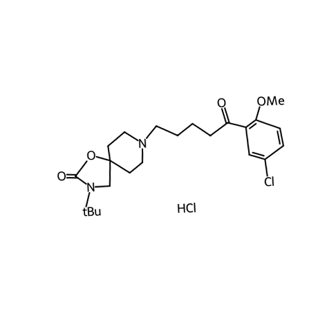 COc1ccc(Cl)cc1C(=O)CCCCN1CCC2(CC1)CN(C(C)(C)C)C(=O)O2.Cl